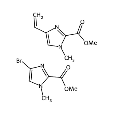 C=Cc1cn(C)c(C(=O)OC)n1.COC(=O)c1nc(Br)cn1C